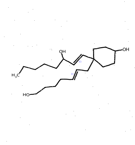 CCCCCC(O)/C=C/C1(C/C=C/CCCCO)CCC(O)CC1